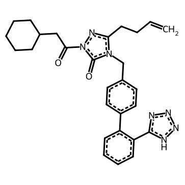 C=CCCc1nn(C(=O)CC2CCCCC2)c(=O)n1Cc1ccc(-c2ccccc2-c2nnn[nH]2)cc1